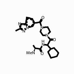 CN[C@@H](C)C(=O)NC(C(=O)N1CCN(C(=O)c2ccc3nc(C)nn3c2)CC1)C1CCCCC1